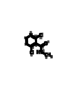 CNC(=O)c1c(Cl)ccnc1Cl